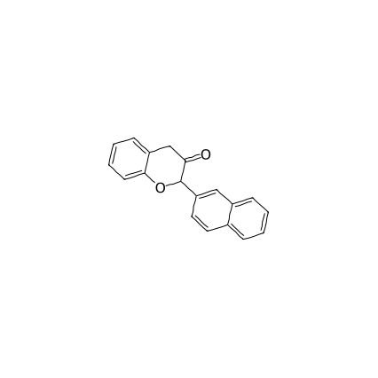 O=C1Cc2ccccc2OC1c1ccc2ccccc2c1